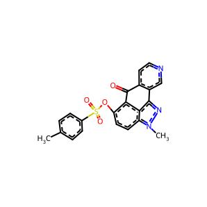 Cc1ccc(S(=O)(=O)Oc2ccc3c4c(nn3C)-c3cnccc3C(=O)c24)cc1